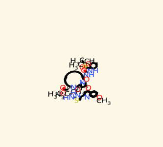 COC(=O)C[C@@H]1CCC=CCCCCC[C@H](NC(=O)NC2(CS(=O)(=O)C(C)(C)C)CCCCC2)C(=O)N2C[C@H](Oc3cc(-c4csc(NC(C)C)n4)nc4cc(OC)ccc34)C[C@H]2C(=O)N1